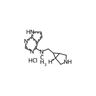 CN(CC1C2CNC[C@@H]21)c1ncnc2[nH]ccc12.Cl